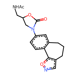 CC(=O)NCC1CN(c2ccc3c(c2)CCCc2cnoc2-3)C(=O)O1